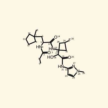 CCC(=O)NC(CC1(C)CCCC1)C(=O)NC1(C(O)C(=O)Nc2ccn(C)n2)CC(F)C1